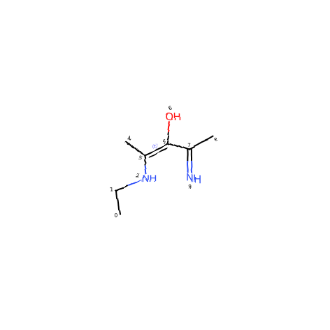 CCN/C(C)=C(/O)C(C)=N